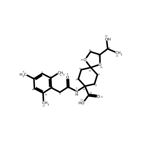 Cc1cc(C)c(CC(=O)NC2(C(=O)O)CCC3(CC2)OCC(C(C)O)O3)c(C)c1